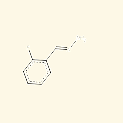 N/N=C/c1ccccc1F